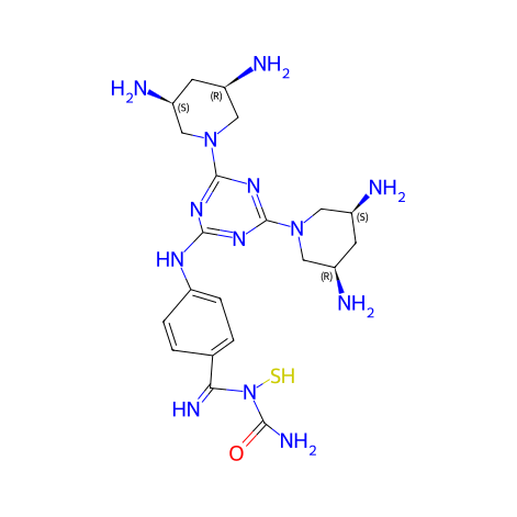 N=C(c1ccc(Nc2nc(N3C[C@H](N)C[C@H](N)C3)nc(N3C[C@H](N)C[C@H](N)C3)n2)cc1)N(S)C(N)=O